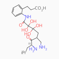 CC(C)C[C@H](N)C(=O)C(CN)CC(O)(O)C(O)(O)C(=O)Nc1ccccc1CCC(=O)O